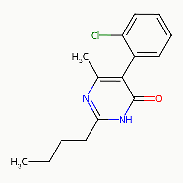 CCCCc1nc(C)c(-c2ccccc2Cl)c(=O)[nH]1